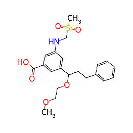 COCCOC(CCc1ccccc1)c1cc(NCS(C)(=O)=O)cc(C(=O)O)c1